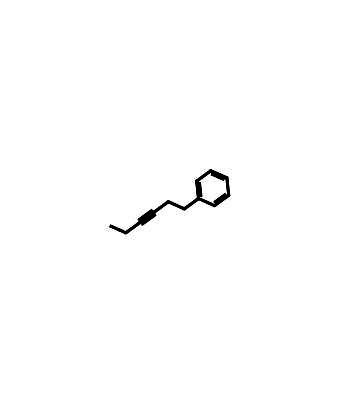 CCC#CCCc1ccccc1